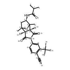 CC(C)C(=O)N[C@@H]1CC2(C)OC1(C)[C@@H]1C(=O)N(c3ccc(C#N)c(C(F)(F)F)c3)C(=O)[C@@H]12